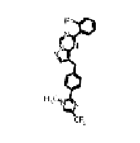 CC(C)c1ccccc1-c1ncn2ncc(Cc3ccc(-c4nc(C(F)(F)F)cn4C)cc3)c2n1